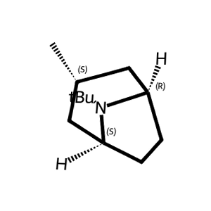 C[C@@H]1C[C@H]2CC[C@@H](C1)N2C(C)(C)C